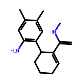 C=C(NI)C1=CCCCC1c1cc(C)c(C)cc1N